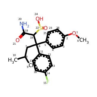 COc1ccc(C(CC(C)C)(c2ccc(F)cc2)C(C(N)=O)S(=O)O)cc1